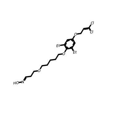 CCc1cc(OCC=C(Cl)Cl)cc(CC)c1OCCCCCOCCC=NO